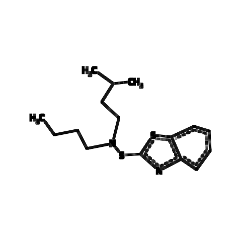 CCCCN(CCC(C)C)Sc1nc2ccccc2s1